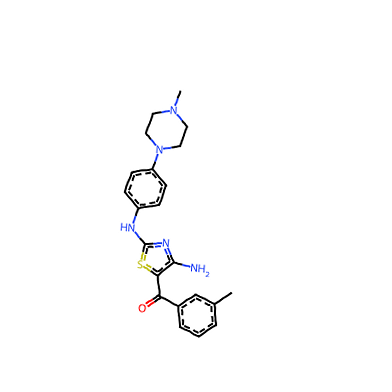 Cc1cccc(C(=O)c2sc(Nc3ccc(N4CCN(C)CC4)cc3)nc2N)c1